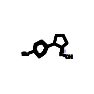 CC(C)(C)c1ccc(C2CCC/C2=N\O)cc1